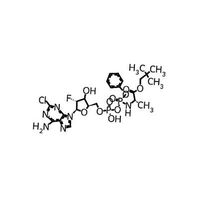 C[C@H](NP(=O)(Oc1ccccc1)OP(=O)(O)OC[C@H]1O[C@@H](n2cnc3c(N)nc(Cl)nc32)[C@H](F)C1O)C(=O)OCC(C)(C)C